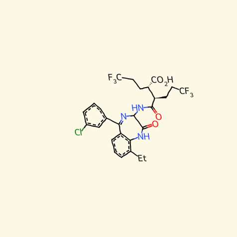 CCc1cccc2c1NC(=O)C(NC(=O)[C@H](CCC(F)(F)F)[C@H](CCC(F)(F)F)C(=O)O)N=C2c1cccc(Cl)c1